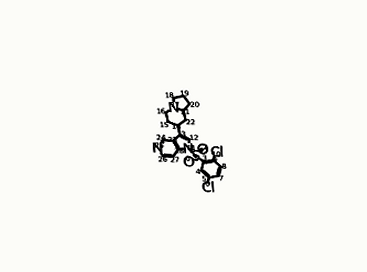 O=S(=O)(c1cc(Cl)ccc1Cl)n1cc(C2CCN3CCCC3C2)c2cnccc21